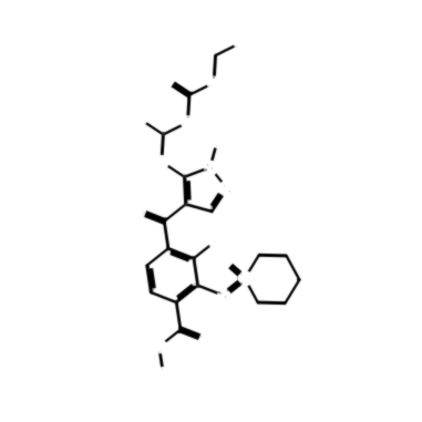 CCOC(=O)OC(C)Oc1c(C(=O)c2ccc(C(=O)OC)c(N=S3(=O)CCCCC3)c2Cl)cnn1C